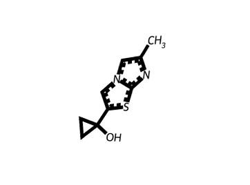 Cc1cn2cc(C3(O)CC3)sc2n1